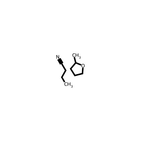 CC1CCCO1.CCCC#N